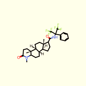 CN1C(=O)CC[C@@]2(C)C1CC[C@@H]1[C@H]2CC[C@]2(C)C(C(=O)NC(c3ccccc3)(C(F)(F)F)C(F)(F)F)CC[C@@H]12